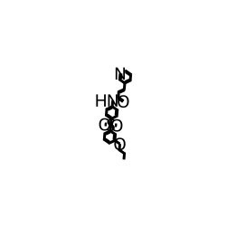 CCCOc1cccc(S(=O)(=O)c2ccc(NC(=O)/C=C/c3cccnc3)cc2)c1